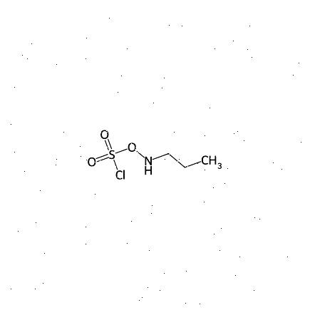 CCCNOS(=O)(=O)Cl